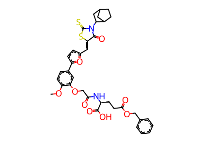 COc1ccc(-c2ccc(/C=C3\SC(=S)N(C4CC5CCC4C5)C3=O)o2)cc1OCC(=O)N[C@@H](CCC(=O)OCc1ccccc1)C(=O)O